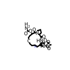 CS(=O)(=O)NC(=O)C12CC1/C=C/CCCCCC(OC(N)=O)C(=O)N1CCCC1C(=O)N2